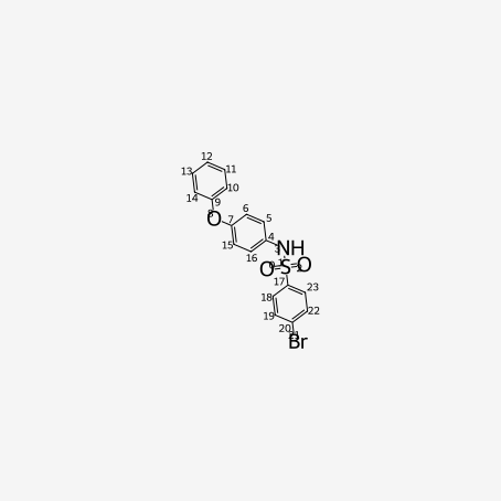 O=S(=O)(Nc1ccc(Oc2ccccc2)cc1)c1ccc(Br)cc1